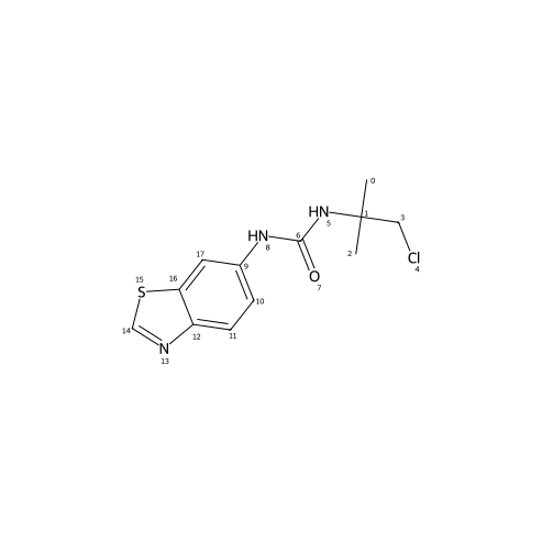 CC(C)(CCl)NC(=O)Nc1ccc2ncsc2c1